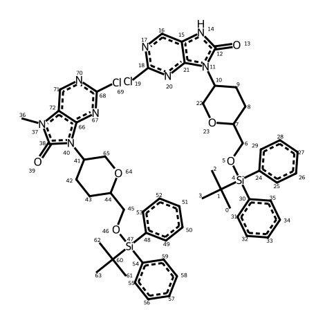 CC(C)(C)[Si](OCC1CCC(n2c(=O)[nH]c3cnc(Cl)nc32)CO1)(c1ccccc1)c1ccccc1.Cn1c(=O)n(C2CCC(CO[Si](c3ccccc3)(c3ccccc3)C(C)(C)C)OC2)c2nc(Cl)ncc21